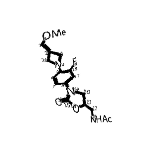 COC=C1CN(c2ccc(N3CC(CNC(C)=O)OC3=O)cc2F)C1